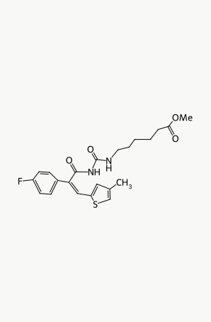 COC(=O)CCCCCNC(=O)NC(=O)C(=Cc1cc(C)cs1)c1ccc(F)cc1